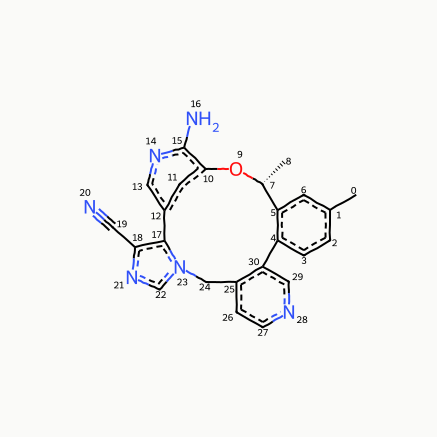 Cc1ccc2c(c1)[C@@H](C)Oc1cc(cnc1N)-c1c(C#N)ncn1Cc1ccncc1-2